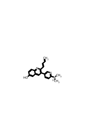 C=CC=Cc1nc2ccc(O)cc2cc1-c1ccc(N(C)[11CH3])nc1